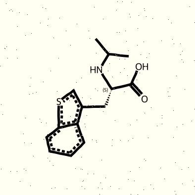 CC(C)N[C@@H](Cc1csc2ccccc12)C(=O)O